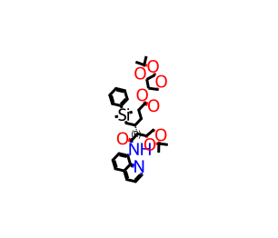 CC1(C)OC2OCC(OC(=O)CCC(C[Si](C)(C)c3ccccc3)[C@@H](C(=O)Nc3cccc4cccnc34)C3COC(C)(C)O3)C2O1